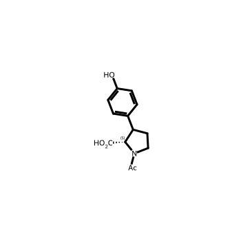 CC(=O)N1CCC(c2ccc(O)cc2)[C@H]1C(=O)O